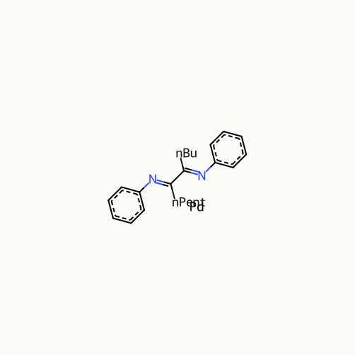 CCCCCC(=N\c1ccccc1)/C(CCCC)=N/c1ccccc1.[Pd]